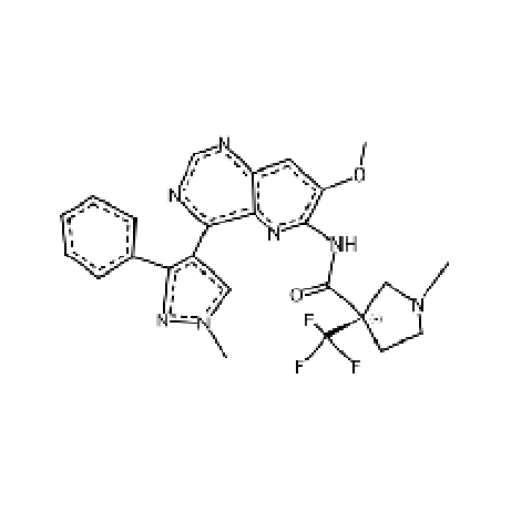 COc1cc2ncnc(-c3cn(C)nc3-c3ccccc3)c2nc1NC(=O)[C@@]1(C(F)(F)F)CCN(C)C1